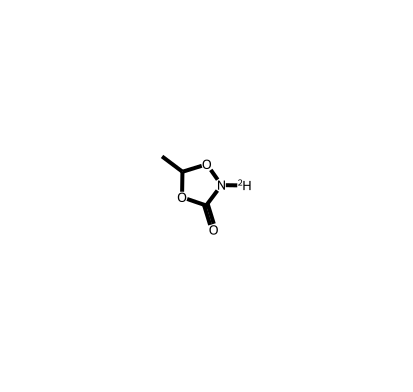 [2H]N1OC(C)OC1=O